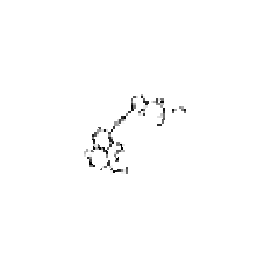 CCCC(=O)Oc1ccc(C#Cc2ccc3c(c2)C(SCC)(SCC)CCO3)o1